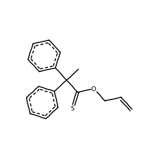 C=CCOC(=S)C(C)(c1ccccc1)c1ccccc1